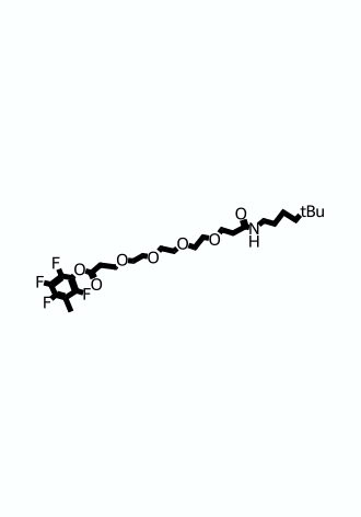 Cc1c(F)c(F)c(F)c(OC(=O)CCOCCOCCOCCOCCC(=O)NCCCCC(C)(C)C)c1F